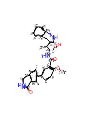 CC(C)Oc1ccc(-c2ccc3c(c2)C(=O)NC3)cc1C(=O)N[C@@H](CO)Cc1c[nH]c2ccccc12